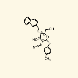 Cc1ccc(SC2O[C@H](CO)[C@@H](OCc3ccc4ccccc4c3)[C@H](O)[C@H]2N=[N+]=[N-])cc1